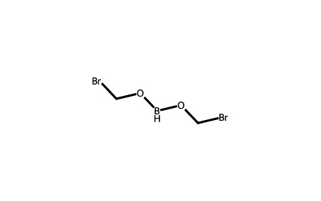 BrCOBOCBr